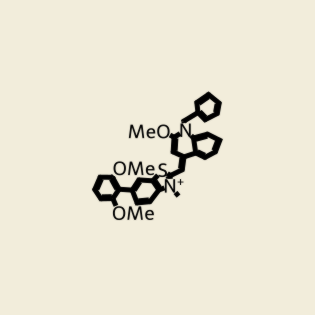 COC1=CC(=Cc2sc3cc(-c4c(OC)cccc4OC)ccc3[n+]2C)c2ccccc2N1Cc1ccccc1